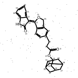 O=C(CCc1ccc2c(c1)COC2=C1C(=O)Nc2ccccc21)OC12CC3CC(CC(C3)C1)C2